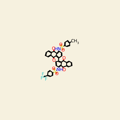 Cc1ccc(S(=O)(=O)Nc2ccc(-c3ccc(NS(=O)(=O)c4ccc(C(F)(F)F)cc4)c4c3C(=O)c3ccccc3C4=O)c3c2C(=O)c2ccccc2C3=O)cc1